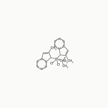 CC1=Cc2ccccc2[CH]1[Zr]([Cl])([Cl])([CH]1C(C)=Cc2ccccc21)=[Ge]([CH3])[CH3]